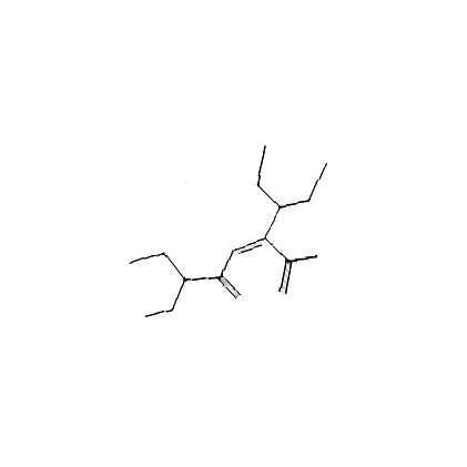 CCC(CC)C(=O)/C=C(\C(=O)[O-])C(CC)CC.[K+]